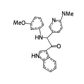 CNc1ccc(C(Nc2cccc(OC)c2)C(=O)c2c[nH]c3ccccc23)cn1